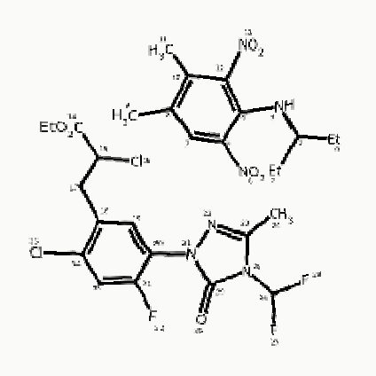 CCC(CC)Nc1c([N+](=O)[O-])cc(C)c(C)c1[N+](=O)[O-].CCOC(=O)C(Cl)Cc1cc(-n2nc(C)n(C(F)F)c2=O)c(F)cc1Cl